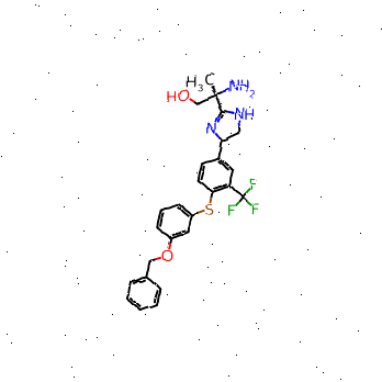 C[C@](N)(CO)C1=NC(c2ccc(Sc3cccc(OCc4ccccc4)c3)c(C(F)(F)F)c2)CN1